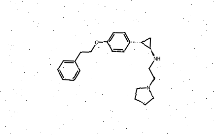 c1ccc(CCOc2ccc([C@@H]3C[C@H]3NCCN3CCCC3)cc2)cc1